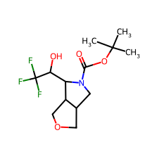 CC(C)(C)OC(=O)N1CC2COCC2C1C(O)C(F)(F)F